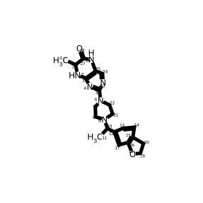 CC1Nc2nc(N3CCN(C(C)c4ccc5c(c4)OCC5)CC3)ncc2NC1=O